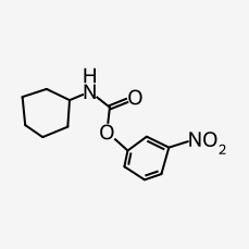 O=C(NC1CCCCC1)Oc1cccc([N+](=O)[O-])c1